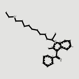 CCOCCCCCCCCCC(C)n1c(C)c(C(=O)c2ccccc2)c2ccccc21